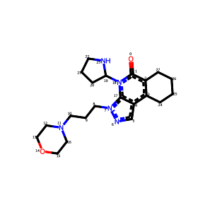 O=c1c2c(c3cnn(CCCN4CCOCC4)c3n1C1CCCN1)CCCC2